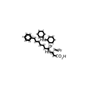 C1CCC(NC2CCCCC2)CC1.CC(C)C[C@H](CC(=O)O)NC(=O)CCCCCCc1ccccc1